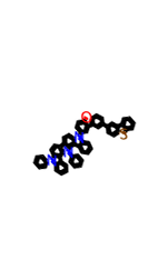 c1ccc(-n2c3ccccc3c3c2ccc2c4ccc5c(c6ccccc6n5-c5ccc6oc7ccc(-c8ccc9sc%10ccccc%10c9c8)cc7c6c5)c4n(-c4ccccc4)c23)cc1